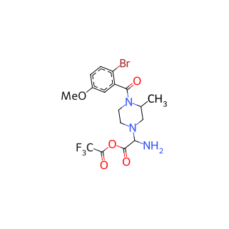 COc1ccc(Br)c(C(=O)N2CCN(C(N)C(=O)OC(=O)C(F)(F)F)CC2C)c1